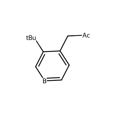 CC(=O)Cc1ccbcc1C(C)(C)C